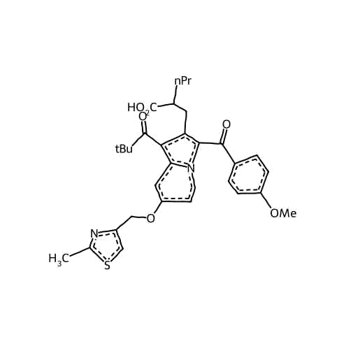 CCCC(Cc1c(C(=O)C(C)(C)C)c2cc(OCc3csc(C)n3)ccn2c1C(=O)c1ccc(OC)cc1)C(=O)O